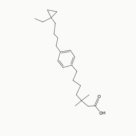 CCC1(CCCCc2ccc(CCCCC(C)(C)CC(=O)O)cc2)CC1